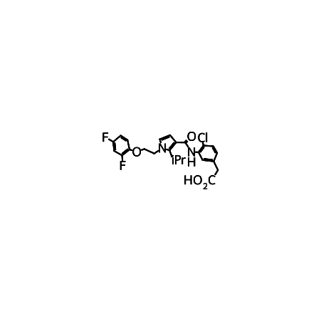 CC(C)c1c(C(=O)Nc2cc(CC(=O)O)ccc2Cl)ccn1CCOc1ccc(F)cc1F